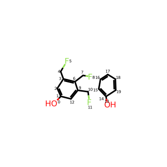 Oc1cc(CF)c(CF)c(CF)c1.Oc1ccccc1